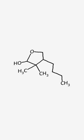 CCCCC1COC(O)C1(C)C